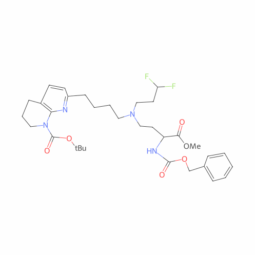 COC(=O)C(CCN(CCCCc1ccc2c(n1)N(C(=O)OC(C)(C)C)CCC2)CCC(F)F)NC(=O)OCc1ccccc1